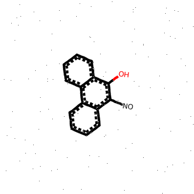 O=Nc1c(O)c2ccccc2c2ccccc12